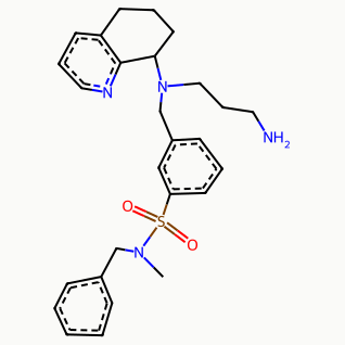 CN(Cc1ccccc1)S(=O)(=O)c1cccc(CN(CCCN)C2CCCc3cccnc32)c1